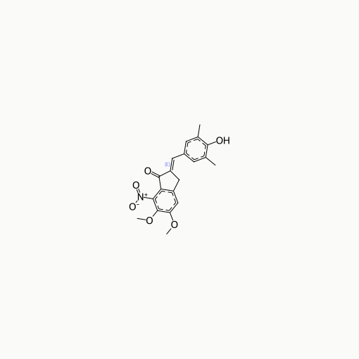 COc1cc2c(c([N+](=O)[O-])c1OC)C(=O)/C(=C/c1cc(C)c(O)c(C)c1)C2